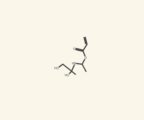 C=CC(=O)OC(C)NC(C)(O)CO